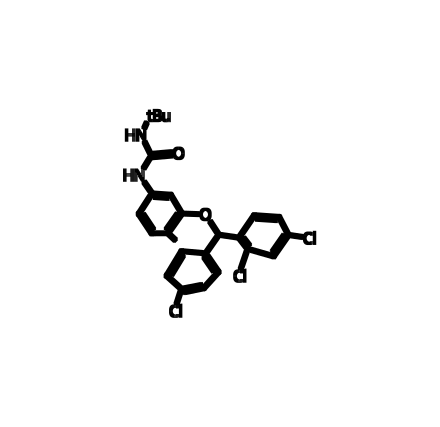 Cc1ccc(NC(=O)NC(C)(C)C)cc1OC(c1ccc(Cl)cc1)c1ccc(Cl)cc1Cl